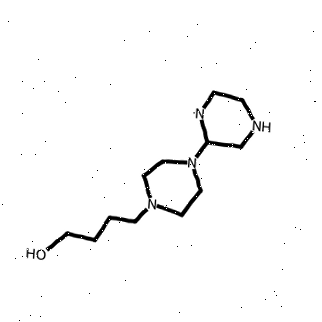 OCCCCN1CCN(C2CNCC[N]2)CC1